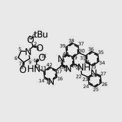 CC(C)(C)OC(=O)N1CCC(=O)[C@H]1C(=O)Nc1cncc(-c2nc(NCc3ccccn3)c3c(-c4ccccc4)cccc3n2)c1